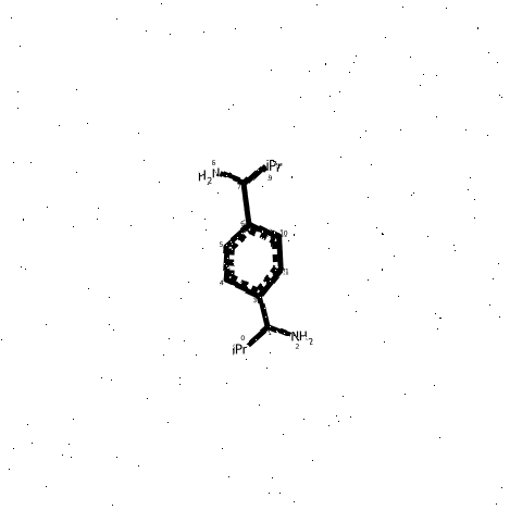 CC(C)C(N)c1ccc(C(N)C(C)C)cc1